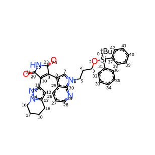 CC(C)(C)[Si](OCCCn1cc(C2=C(c3cc4n(n3)CCCC4)C(=O)NC2=O)c2cccnc21)(c1ccccc1)c1ccccc1